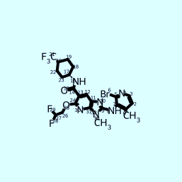 Cc1ccnc(Br)c1Nc1nc2cc(C(=O)N[C@H]3CC[C@H](C(F)(F)F)CC3)c(OCC(F)F)nc2n1C